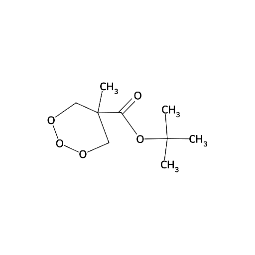 CC(C)(C)OC(=O)C1(C)COOOC1